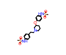 CS(=O)(=O)Nc1ccc(CCN2CCCC(Oc3ccc(NS(C)(=O)=O)cc3)C2)cc1